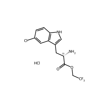 Cl.N[C@@H](Cc1c[nH]c2ccc(Cl)cc12)C(=O)OCC(F)(F)F